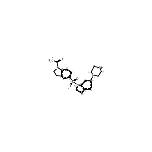 CC(=O)N1CCc2cc(S(=O)(=O)n3ccc4ccc(N5CCNCC5)cc43)ccc21